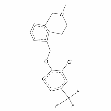 CN1CCc2c(COc3ccc(C(F)(F)F)cc3Cl)cccc2C1